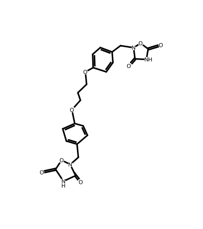 O=c1[nH]c(=O)n(Cc2ccc(OCCCOc3ccc(Cn4oc(=O)[nH]c4=O)cc3)cc2)o1